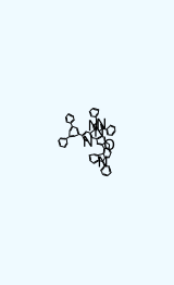 c1ccc(-c2cc(-c3ccccc3)cc(-c3cnc(-c4ccc5oc6ccc7c(c8ccccc8n7-c7ccccc7)c6c5c4)c(-c4nc(-c5ccccc5)nc(-c5ccccc5)n4)c3)c2)cc1